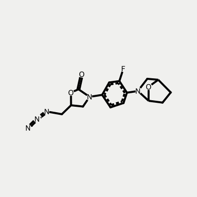 [N-]=[N+]=NCC1CN(c2ccc(N3CC4CCC3O4)c(F)c2)C(=O)O1